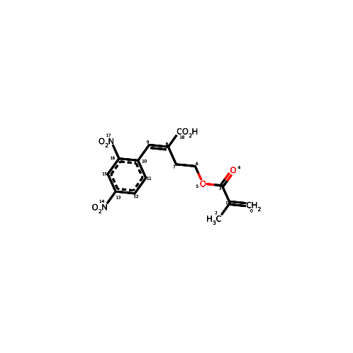 C=C(C)C(=O)OCCC(=Cc1ccc([N+](=O)[O-])cc1[N+](=O)[O-])C(=O)O